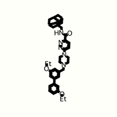 CCOc1cccc(-c2cc(CN3CCN(c4ccc(C(=O)NCC56CC7CC(CC(C7)C5)C6)nn4)CC3)cc(OCC)c2)c1